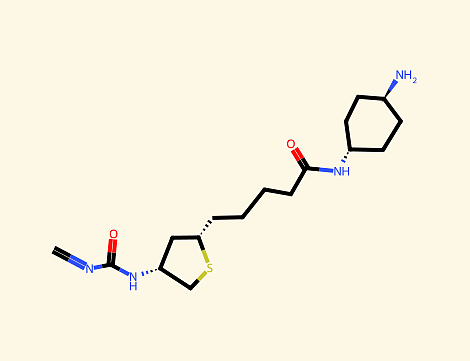 C=NC(=O)N[C@H]1CS[C@@H](CCCCC(=O)N[C@H]2CC[C@H](N)CC2)C1